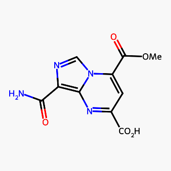 COC(=O)c1cc(C(=O)O)nc2c(C(N)=O)ncn12